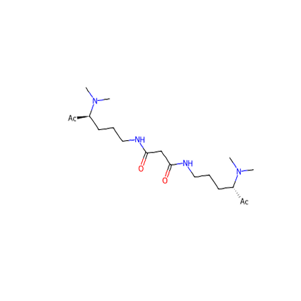 CC(=O)[C@H](CCCNC(=O)CC(=O)NCCC[C@@H](C(C)=O)N(C)C)N(C)C